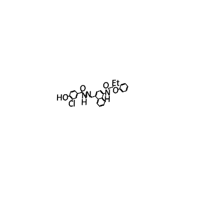 CCC(Oc1ccccc1)C(=O)Nc1ccc(/C=N/NC(=O)c2ccc(O)c(Cl)c2)c2ccccc12